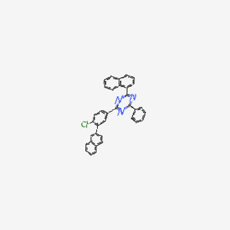 Clc1ccc(-c2nc(-c3ccccc3)nc(-c3cccc4ccccc34)n2)cc1-c1ccc2ccccc2c1